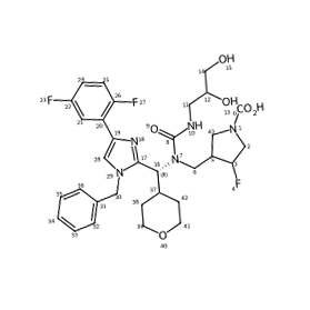 O=C(O)N1CC(F)C(CN(C(=O)NCC(O)CO)[C@@H](c2nc(-c3cc(F)ccc3F)cn2Cc2ccccc2)C2CCOCC2)C1